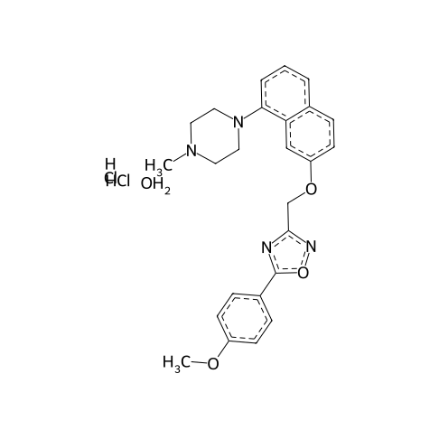 COc1ccc(-c2nc(COc3ccc4cccc(N5CCN(C)CC5)c4c3)no2)cc1.Cl.Cl.O